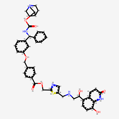 O=C(N[C@@H](c1ccccc1)c1cccc(OCc2ccc(C(=O)OCc3ncc(CNCC(O)c4ccc(O)c5[nH]c(=O)ccc45)s3)cc2)c1)OC1CN2CCC1CC2